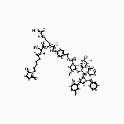 CC(C)C(NC(=O)CCCCCN1C(=O)C=CC1=O)C(=O)N[C@@H](CCCNC(N)=O)C(=O)Nc1ccc(COC(=O)N2C[C@@H](CN(C(=O)N[C@@H](C)CO)[C@@H](c3nc(-c4cc(F)ccc4F)cn3Cc3ccccc3)C3CCOCC3)[C@@H](F)C2)cc1